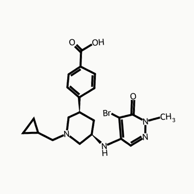 Cn1ncc(N[C@@H]2C[C@H](c3ccc(C(=O)O)cc3)CN(CC3CC3)C2)c(Br)c1=O